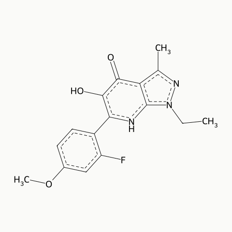 CCn1nc(C)c2c(=O)c(O)c(-c3ccc(OC)cc3F)[nH]c21